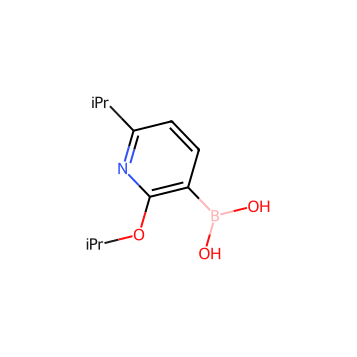 CC(C)Oc1nc(C(C)C)ccc1B(O)O